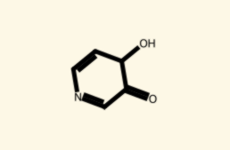 O=C1[C]=NC=CC1O